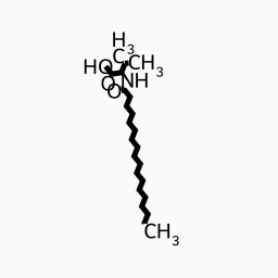 CCCCCCCCCCCCCCCCCC(=O)N[C@H](C(=O)O)C(C)C